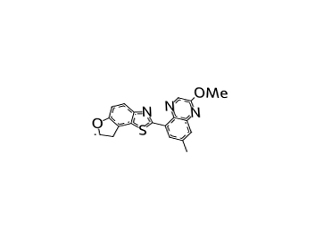 COc1cnc2c(-c3nc4ccc5c(c4s3)C[CH]O5)cc(C)cc2n1